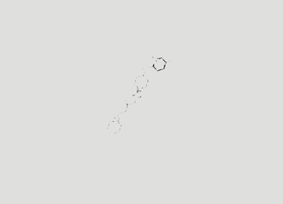 O=C(CCN1CCOCC1)CS(=O)(=O)N1CCC(Oc2ccc(Cl)cn2)CC1